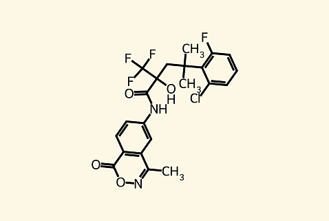 Cc1noc(=O)c2ccc(NC(=O)C(O)(CC(C)(C)c3c(F)cccc3Cl)C(F)(F)F)cc12